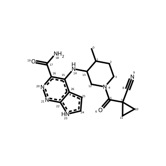 CC1CCN(C(=O)C2(C#N)CC2)CC1Nc1c(C(N)=O)nnc2[nH]ccc12